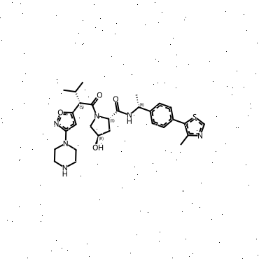 Cc1ncsc1-c1ccc([C@@H](C)NC(=O)[C@@H]2C[C@@H](O)CN2C(=O)[C@H](c2cc(N3CCNCC3)no2)C(C)C)cc1